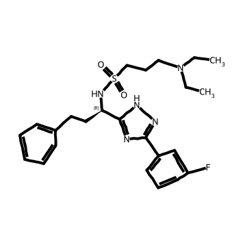 CCN(CC)CCCS(=O)(=O)N[C@H](CCc1ccccc1)c1nc(-c2cccc(F)c2)n[nH]1